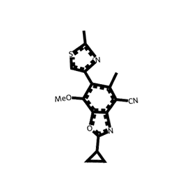 COc1c(-c2csc(C)n2)c(C)c(C#N)c2nc(C3CC3)oc12